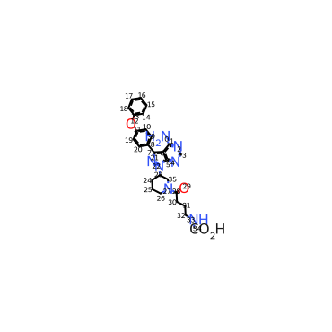 Nc1ncnc2c1c(-c1ccc(Oc3ccccc3)cc1)nn2[C@@H]1CCCN(C(=O)CCCNC(=O)O)C1